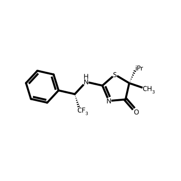 CC(C)[C@@]1(C)SC(N[C@@H](c2ccccc2)C(F)(F)F)=NC1=O